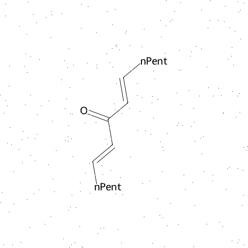 CCCCCC=CC(=O)C=CCCCCC